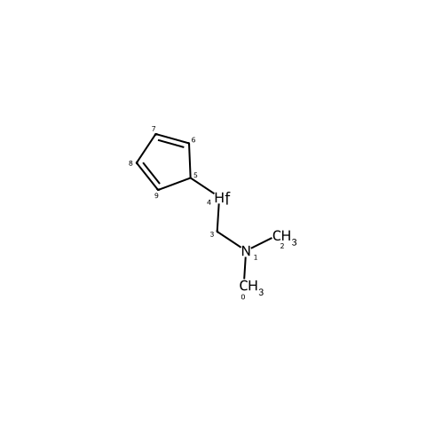 CN(C)[CH2][Hf][CH]1C=CC=C1